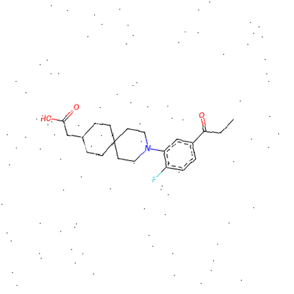 CCC(=O)c1ccc(F)c(N2CCC3(CCC(CC(=O)O)CC3)CC2)c1